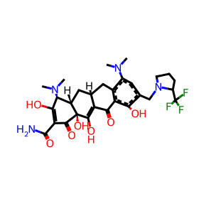 CN(C)c1cc(CN2CCCC2C(F)(F)F)c(O)c2c1C[C@H]1C[C@H]3[C@H](N(C)C)C(O)=C(C(N)=O)C(=O)[C@@]3(O)C(O)=C1C2=O